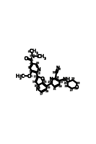 COc1cc(C(=O)N(C)C)cnc1-c1cc2nccc(-c3ccc(NC4CCOCC4)c(C#N)n3)c2o1